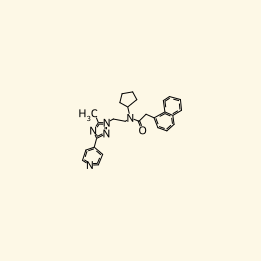 Cc1nc(-c2ccncc2)nn1CCN(C(=O)Cc1cccc2ccccc12)C1CCCC1